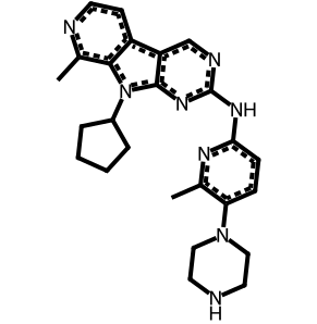 Cc1nc(Nc2ncc3c4ccnc(C)c4n(C4CCCC4)c3n2)ccc1N1CCNCC1